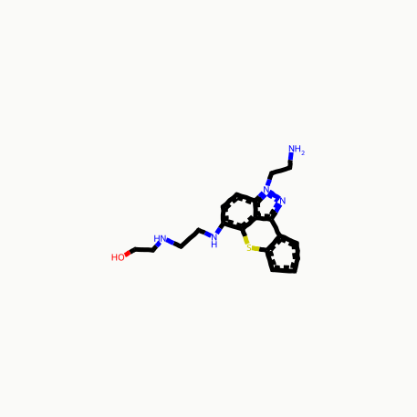 NCCn1nc2c3c(c(NCCNCCO)ccc31)Sc1ccccc1-2